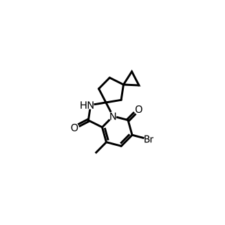 Cc1cc(Br)c(=O)n2c1C(=O)NC21CCC2(CC2)C1